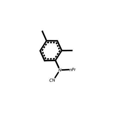 [C-]#[N+]N(CCC)c1ccc(C)cc1C